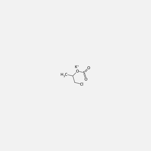 CC(CCl)O[S-](=O)=O.[K+]